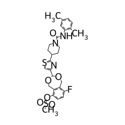 Cc1ccc(C)c(NC(=O)N2CCC(c3nc(C4OCc5c(F)ccc(OS(C)(=O)=O)c5CO4)cs3)CC2)c1